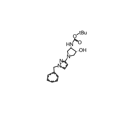 CC(C)(C)OC(=O)N[C@H]1CN(c2ccn(Cc3ccccc3)n2)C[C@H]1O